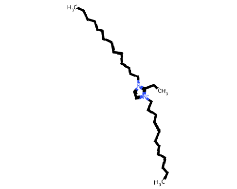 CCCCCCCCCCCCCCn1cc[n+](CCCCCCCCCCCC)c1CC